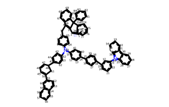 CC/C=C\C1=C(Cc2ccc(N(c3ccc(-c4ccc(-c5cccc(-n6c7ccccc7c7ccccc76)c5)cc4)cc3)c3ccc(C4C=CC=C(c5ccc6ccccc6c5)C4)cc3)cc2)c2ccccc2C1(c1ccccc1)c1ccccc1